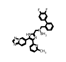 BN(Cc1nc(-c2cccc(C)n2)c(-c2ccc3ncnn3c2)[nH]1)Cc1ccccc1-c1ccc(F)c(F)c1